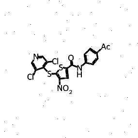 CC(=O)c1ccc(NC(=O)c2cc([N+](=O)[O-])c(Sc3c(Cl)cncc3Cl)s2)cc1